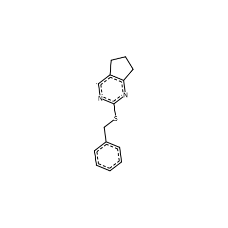 [c]1nc(SCc2ccccc2)nc2c1CCC2